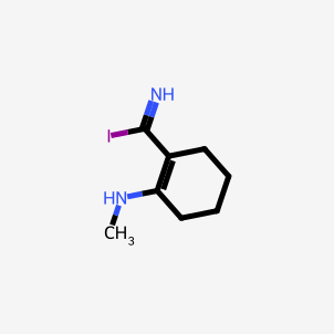 CNC1=C(C(=N)I)CCCC1